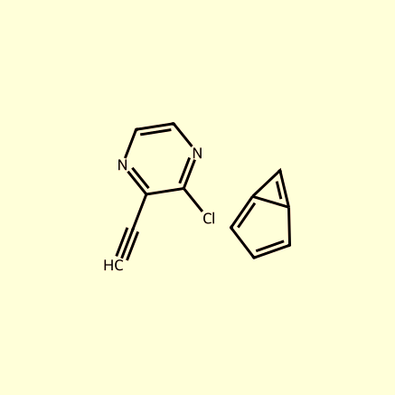 C#Cc1nccnc1Cl.c1cc2cc-2c1